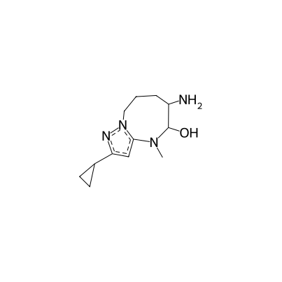 CN1c2cc(C3CC3)nn2CCCC(N)C1O